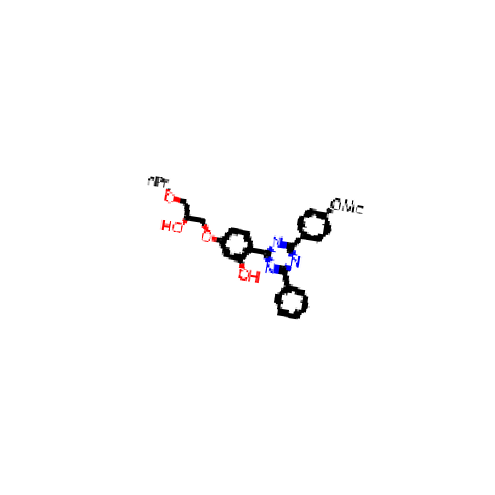 CCCOCC(O)COc1ccc(-c2nc(-c3ccccc3)nc(-c3ccc(OC)cc3)n2)c(O)c1